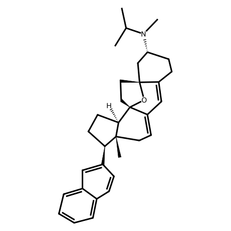 CC(C)N(C)[C@@H]1CCC2=CC3=CC[C@]4(C)[C@@H](c5ccc6ccccc6c5)CC[C@H]4[C@@]34CC[C@]2(C1)O4